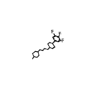 CC1CCC(CCCCC2CCC(c3cc(F)c(F)c(F)c3)CC2)CC1